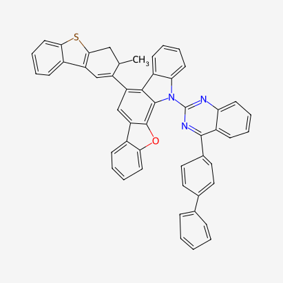 CC1Cc2sc3ccccc3c2C=C1c1cc2c3ccccc3oc2c2c1c1ccccc1n2-c1nc(-c2ccc(-c3ccccc3)cc2)c2ccccc2n1